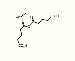 CCCC.O=C(O)CCCC(=O)OC(=O)CCCC(=O)O